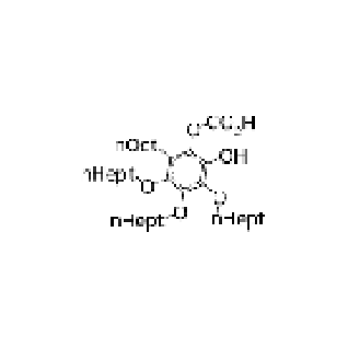 CCCCCCCCc1c(OC(=O)O)c(O)c(OCCCCCCC)c(OCCCCCCC)c1OCCCCCCC